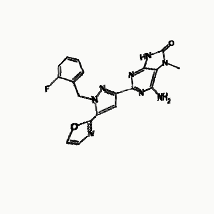 Cn1c(=O)[nH]c2nc(-c3cc(-c4ncco4)n(Cc4ccccc4F)n3)nc(N)c21